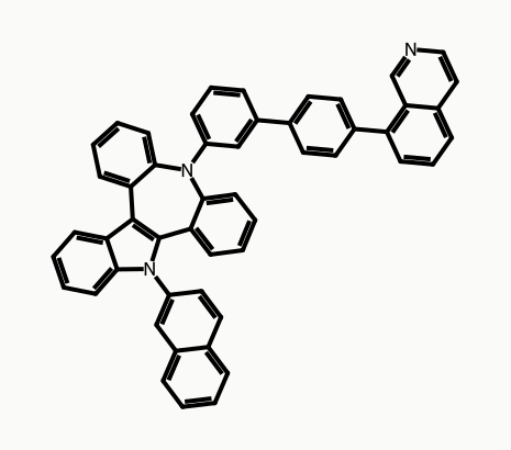 c1cc(-c2ccc(-c3cccc4ccncc34)cc2)cc(N2c3ccccc3-c3c(n(-c4ccc5ccccc5c4)c4ccccc34)-c3ccccc32)c1